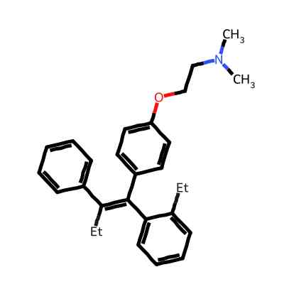 CCC(=C(c1ccc(OCCN(C)C)cc1)c1ccccc1CC)c1ccccc1